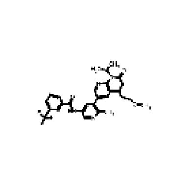 COCCC1CC(=O)N(C(C)C)c2ncc(-c3cc(NC(=O)c4cccc(C(F)(F)F)c4)cnc3C)cc21